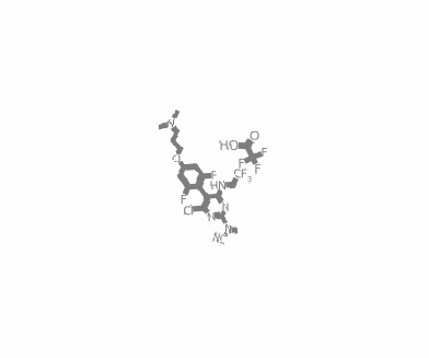 CN(C)CCCOc1cc(F)c(-c2c(Cl)nc(N(C)C#N)nc2NCC(F)(F)F)c(F)c1.O=C(O)C(F)(F)F